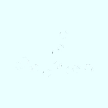 CC1(C)c2cc(-c3cccc(-c4cc(-c5ccc6oc(-c7ccccc7)nc6c5)cc(-c5ccc6oc(-c7ccccc7)nc6c5)c4)c3)ccc2-c2c1ccc1ccccc21